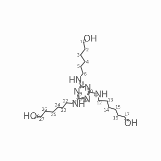 OCCCCCCNc1nc(NCCCCCCO)nc(NCCCCCCO)n1